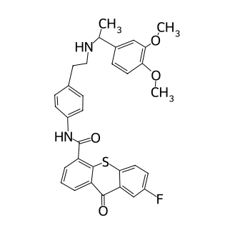 COc1ccc(C(C)NCCc2ccc(NC(=O)c3cccc4c(=O)c5cc(F)ccc5sc34)cc2)cc1OC